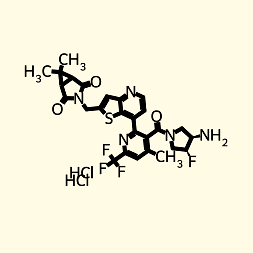 Cc1cc(C(F)(F)F)nc(-c2ccnc3cc(CN4C(=O)C5C(C4=O)C5(C)C)sc23)c1C(=O)N1C[C@@H](N)[C@H](F)C1.Cl.Cl